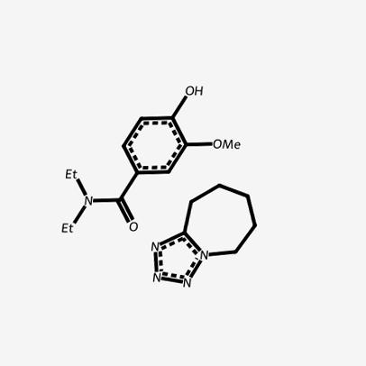 C1CCc2nnnn2CC1.CCN(CC)C(=O)c1ccc(O)c(OC)c1